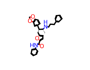 C[C@@H](NCCCc1ccccc1)[C@H](Cc1ccc(C(=O)Nc2ccccc2)o1)c1ccc2c(c1)OCO2